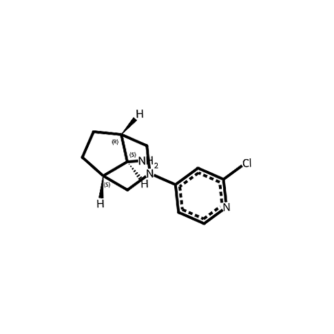 N[C@@H]1[C@@H]2CC[C@H]1CN(c1ccnc(Cl)c1)C2